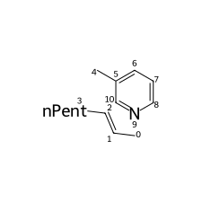 CC=CCCCCC.Cc1cccnc1